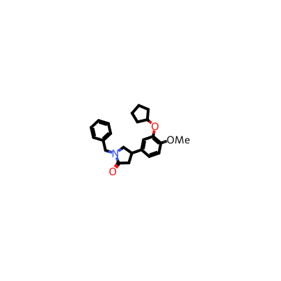 COc1ccc(C2CC(=O)N(Cc3ccccc3)C2)cc1OC1CCCC1